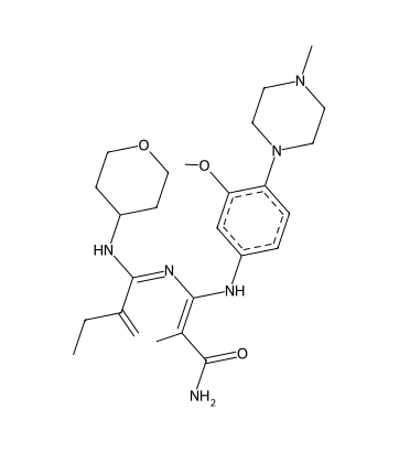 C=C(CC)/C(=N\C(Nc1ccc(N2CCN(C)CC2)c(OC)c1)=C(/C)C(N)=O)NC1CCOCC1